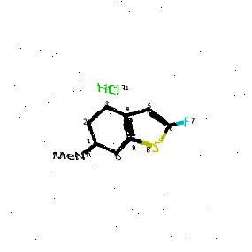 CNC1CCc2cc(F)sc2C1.Cl